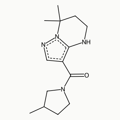 CC1CCN(C(=O)c2cnn3c2NCCC3(C)C)C1